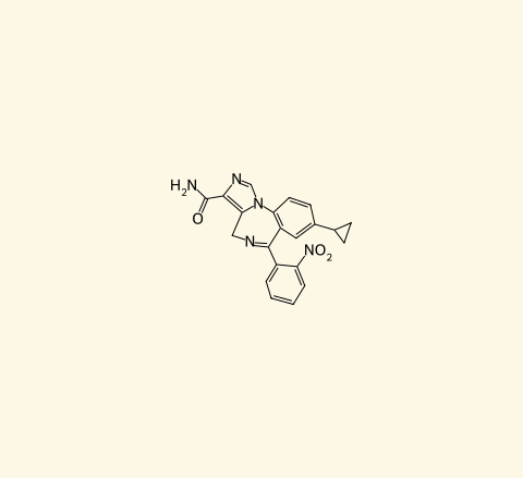 NC(=O)c1ncn2c1CN=C(c1ccccc1[N+](=O)[O-])c1cc(C3CC3)ccc1-2